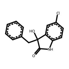 O=C1Nc2ccc(Cl)cc2C1(O)Cc1ccccc1